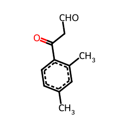 Cc1ccc(C(=O)CC=O)c(C)c1